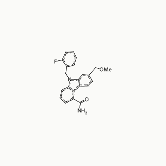 COCc1c[c]c2c3c(C(N)=O)cccc3n(Cc3ccccc3F)c2c1